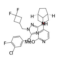 COc1cc(N2C[C@H]3CC[C@@H](C2)C3Nc2nc(Oc3ccc(F)c(Cl)c3)n(CC3CC(F)(F)C3)n2)ccn1